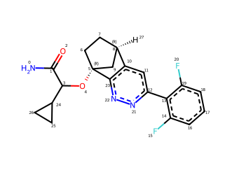 NC(=O)C(O[C@]12CC[C@H](C1)c1cc(-c3c(F)cccc3F)nnc12)C1CC1